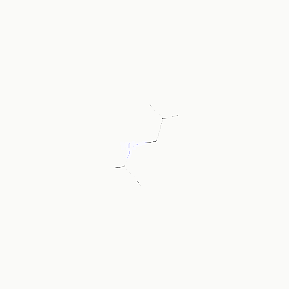 CCOC(=O)C(CC)CNC(C)C(=O)O